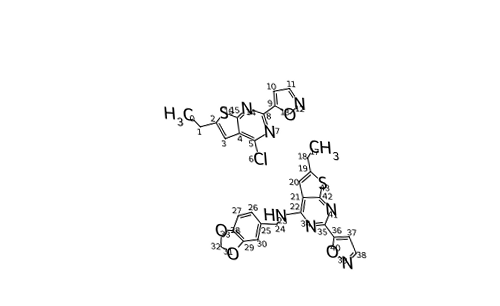 CCc1cc2c(Cl)nc(-c3ccno3)nc2s1.CCc1cc2c(NCc3ccc4c(c3)OCO4)nc(-c3ccno3)nc2s1